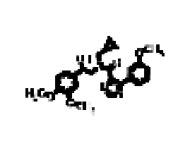 COc1cccc(-c2scnc2C(=O)N(CC2CC2)CC(O)c2ccc(OC)c(OC)c2)c1